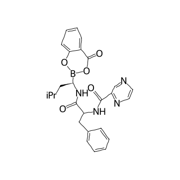 CC(C)C[C@H](NC(=O)C(Cc1ccccc1)NC(=O)c1cnccn1)B1OC(=O)c2ccccc2O1